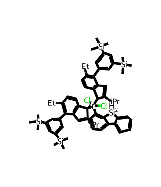 CCc1ccc2c(c1-c1cc([Si](C)(C)C)cc([Si](C)(C)C)c1)C=C(C(C)C)[CH]2[Zr]([Cl])([Cl])([c]1cccc2c1[SiH2]c1ccccc1-2)[CH]1C(C(C)C)=Cc2c1ccc(CC)c2-c1cc([Si](C)(C)C)cc([Si](C)(C)C)c1